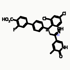 Cc1cc(/C(C[C@H](c2ccc(-c3ccc(C(=O)O)c(F)c3)cc2)c2ccc(Cl)cc2Cl)=N/O)c[nH]c1=O